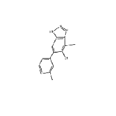 CCc1c(-c2cccc(C)c2)cc2[nH]nnc2c1C